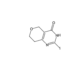 O=c1[nH]c(I)nc2c1COCC2